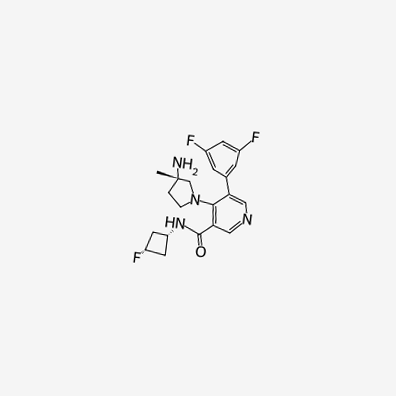 C[C@]1(N)CCN(c2c(C(=O)N[C@H]3C[C@@H](F)C3)cncc2-c2cc(F)cc(F)c2)C1